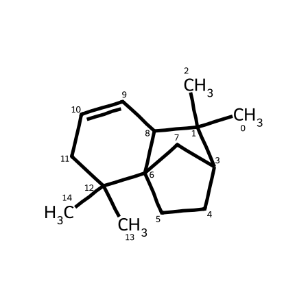 CC1(C)C2CCC3(C2)C1C=CCC3(C)C